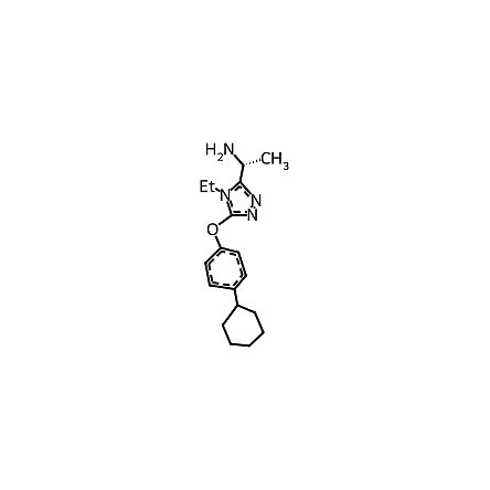 CCn1c(Oc2ccc(C3CCCCC3)cc2)nnc1[C@@H](C)N